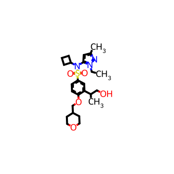 CCn1nc(C)cc1N(C1CCC1)S(=O)(=O)c1ccc(OCC2CCOCC2)c(C(C)CO)c1